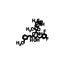 CCc1cccc(CNC[C@H](O)[C@H](Cc2cc(F)cc(F)c2)NC(=O)c2oc(NS(C)(=O)=O)nc2C)c1